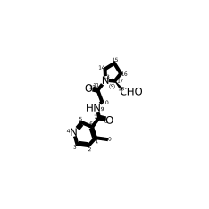 Cc1ccncc1C(=O)NCC(=O)N1CCC[C@H]1C=O